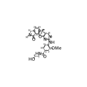 COc1cc(C(=O)NCCO)ccc1Nc1ncc(C(F)(F)F)c(Oc2cccc3c2C(=O)N(C)C3)n1